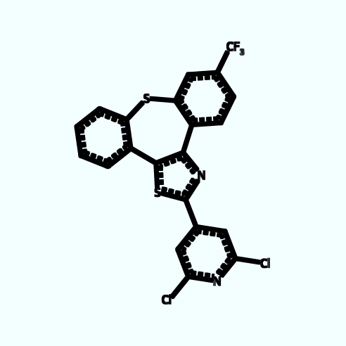 FC(F)(F)c1ccc2c(c1)Sc1ccccc1-c1sc(-c3cc(Cl)nc(Cl)c3)nc1-2